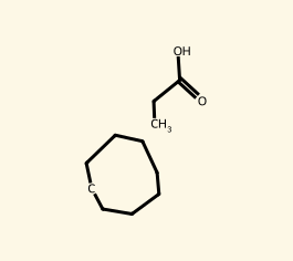 C1CCCCCCC1.CCC(=O)O